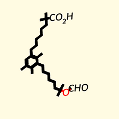 Cc1cc(CCCCCCC(C)(C)C(=O)O)c(C)c(CCCCCCC(C)(C)OC=O)c1C